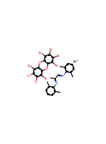 CC(C=Nc1c(C)cccc1C)=Nc1c(C)cccc1C.[Ni+2].[O-]c1c([O-])c(Br)c2c(c1Br)Oc1c(Br)c(Br)c(Br)c(Br)c1O2